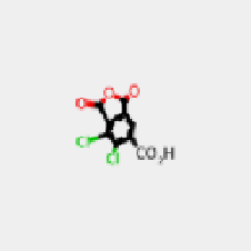 O=C(O)c1cc2c(c(Cl)c1Cl)C(=O)OC2=O